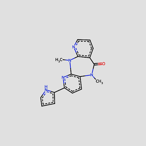 CN1C(=O)c2cccnc2N(C)c2nc(-c3ccc[nH]3)ccc21